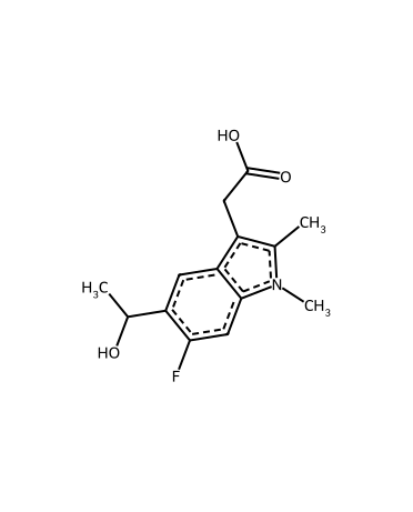 Cc1c(CC(=O)O)c2cc(C(C)O)c(F)cc2n1C